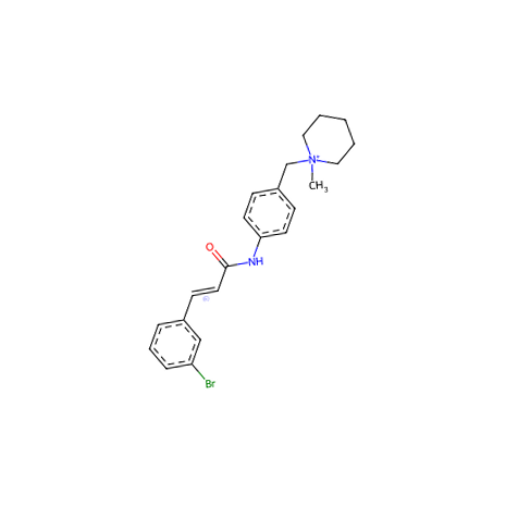 C[N+]1(Cc2ccc(NC(=O)/C=C/c3cccc(Br)c3)cc2)CCCCC1